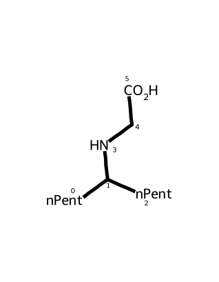 CCCCCC(CCCCC)NCC(=O)O